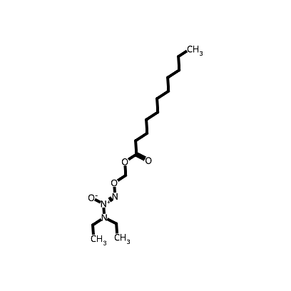 CCCCCCCCCCC(=O)OCO/N=[N+](\[O-])N(CC)CC